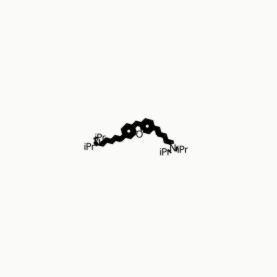 CC(C)N(CCCC=Cc1ccc2c(c1)Oc1cc(C=CCCCN(C(C)C)C(C)C)ccc1C2)C(C)C